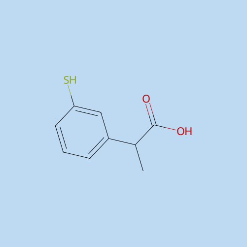 CC(C(=O)O)c1cccc(S)c1